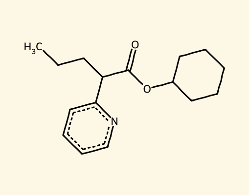 CCCC(C(=O)OC1CCCCC1)c1ccccn1